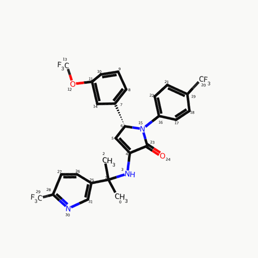 CC(C)(NC1=C[C@H](c2cccc(OC(F)(F)F)c2)N(c2ccc(C(F)(F)F)cc2)C1=O)c1ccc(C(F)(F)F)nc1